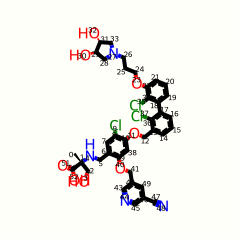 C[C@](CO)(NCc1cc(Cl)c(OCc2cccc(-c3cccc(OCCCN4C[C@@H](O)[C@H](O)C4)c3Cl)c2Cl)cc1OCc1cncc(C#N)c1)C(=O)O